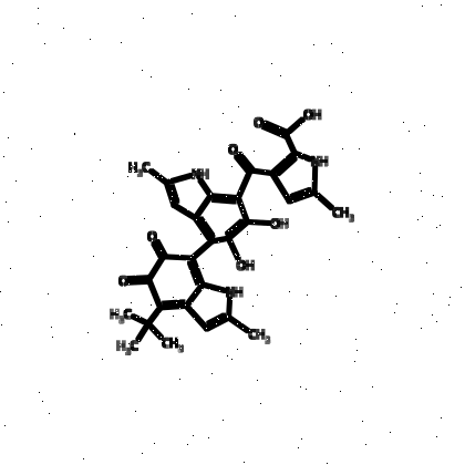 Cc1cc(C(=O)c2c(O)c(O)c(C3=c4[nH]c(C)cc4=C(C(C)(C)C)C(=O)C3=O)c3cc(C)[nH]c23)c(C(=O)O)[nH]1